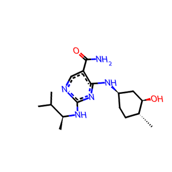 CC(C)[C@H](C)Nc1ncc(C(N)=O)c(N[C@@H]2CC[C@@H](C)[C@H](O)C2)n1